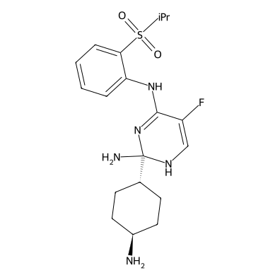 CC(C)S(=O)(=O)c1ccccc1NC1=NC(N)([C@H]2CC[C@H](N)CC2)NC=C1F